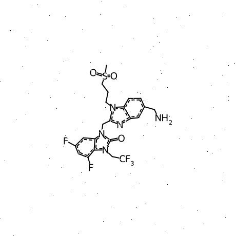 CS(=O)(=O)CCCn1c(Cn2c(=O)n(CC(F)(F)F)c3c(F)cc(F)cc32)nc2cc(CN)ccc21